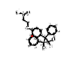 CCN(CC)CCOc1ccc(C2(c3ccccc3)C(Cl)(Cl)C2(CC)c2ccccc2)cc1